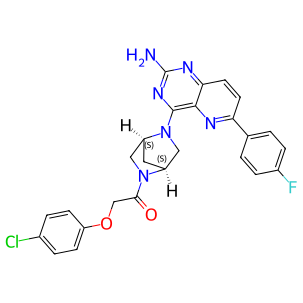 Nc1nc(N2C[C@@H]3C[C@H]2CN3C(=O)COc2ccc(Cl)cc2)c2nc(-c3ccc(F)cc3)ccc2n1